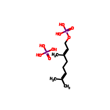 CC(C)=CCC/C(C)=C/COP(=O)(O)O.O=P(O)(O)O